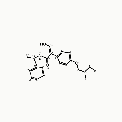 CC[C@@H](C)COc1ccc(C(=CO)C(=O)N[C@H](C)c2ccccc2)cc1